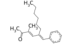 CCCCCCC(=C\c1ccccc1)/C=C(\C)C(C)=O